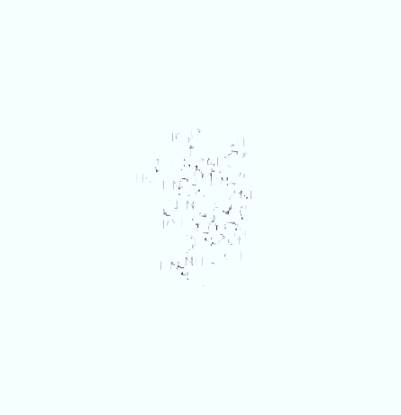 CC[C@H](C)[C@H](NC(=O)[C@H](CCC(=O)O)NC(=O)[C@H](CCC(=O)O)NC(=O)[C@H](CCC(=O)O)NC(=O)[C@H](CCC(=O)O)NC(=O)[C@@H](N)Cc1ccc(O)cc1)C(=O)N[C@@H](CCCNC(=N)N)C(=O)N[C@H](C(=O)O)C(C)C